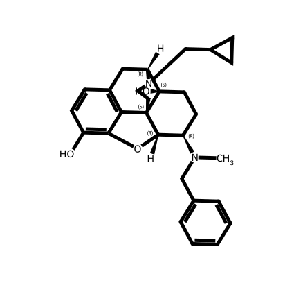 CN(Cc1ccccc1)[C@@H]1CC[C@@]2(O)[C@H]3Cc4ccc(O)c5c4[C@@]2(CCN3CC2CC2)[C@H]1O5